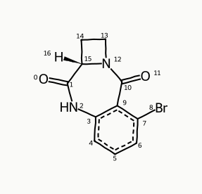 O=C1Nc2cccc(Br)c2C(=O)N2CC[C@@H]12